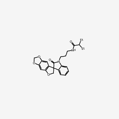 CCC(CC)C(=O)NCCCN1C(=O)C2(COc3cc4c(cc32)OCO4)c2ccccc21